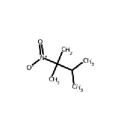 CC(C)C(C)(C)[N+](=O)[O-]